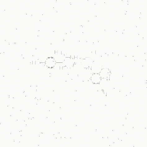 C[C@@H]1CN(c2ccc(C#N)c3ncccc23)C[C@H](C(=O)N[C@H](C)[C@H](O)c2ccc(O)cc2)O1